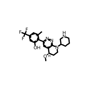 CO[C@@H]1CCN(C2CCCNC2)c2nnc(-c3c(C)cc(C(F)(F)F)cc3O)cc21